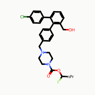 CCCC(F)OC(=O)N1CCN(Cc2ccc(-c3c(CO)cccc3-c3ccc(Cl)cc3)cc2)CC1